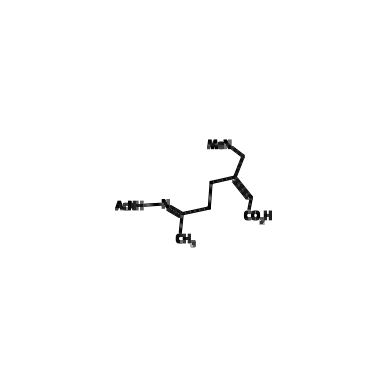 CNCC(=CC(=O)O)CCC(C)=NNC(C)=O